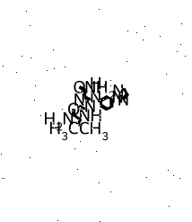 CC(C)[C@@H](Nc1cnc(C(N)=O)c(Nc2cccc(-n3nccn3)c2)n1)C(N)=O